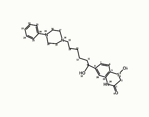 O=C1C[S+]([O-])c2ccc(C(O)CCCCCN3CCN(c4ccccc4)CC3)cc2N1